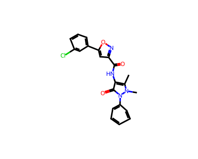 Cc1c(NC(=O)c2cc(-c3cccc(Cl)c3)on2)c(=O)n(-c2ccccc2)n1C